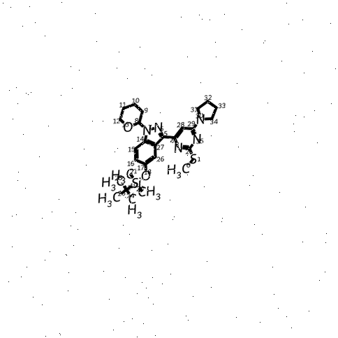 CSc1nc(-c2nn(C3CCCCO3)c3ccc(O[Si](C)(C)C(C)(C)C)cc23)cc(N2CCCC2)n1